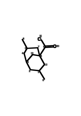 CC1CC2CC(C)CC(C(=O)Cl)(C1)C2